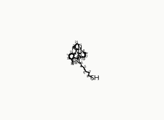 O=C(NCCCCCCS)c1c(I)cccc1N(c1ncccn1)c1ncccn1